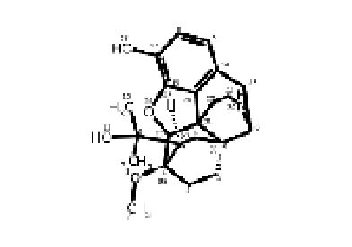 CO[C@]12CC[C@@]3(C[C@@H]1C(C)(C)O)C1Cc4ccc(O)c5c4C3(CCN1)C2O5